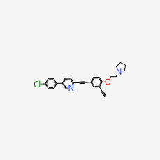 C#Cc1cc(C#Cc2ccc(-c3ccc(Cl)cc3)cn2)ccc1OCCN1CCCC1